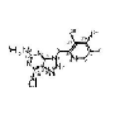 Cc1cnc(Cn2nnc3c(Cl)nc(N)nc32)c(C)c1I